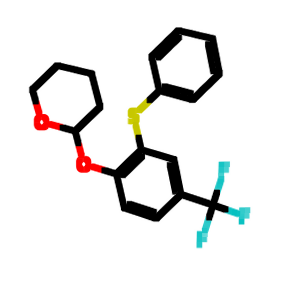 FC(F)(F)c1ccc(OC2CCCCO2)c(Sc2ccccc2)c1